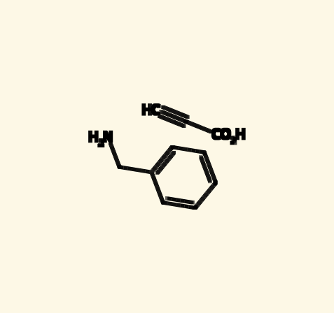 C#CC(=O)O.NCc1ccccc1